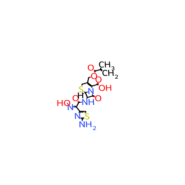 C=C(C)C(=O)OCC1=C(C(=O)O)N2C(=O)C(NC(=O)/C(=N\O)c3csc(N)n3)[C@H]2SC1